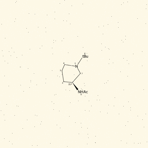 CC(=O)N[C@H]1CCCN(C(C)(C)C)C1